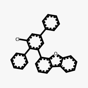 Clc1cc(-c2ccccc2)cc(-c2cccc3c2oc2ccccc23)c1-c1ccccc1